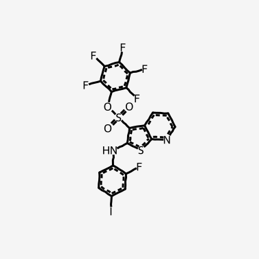 O=S(=O)(Oc1c(F)c(F)c(F)c(F)c1F)c1c(Nc2ccc(I)cc2F)sc2ncccc12